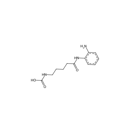 Nc1ccccc1NC(=O)CCCCNC(=O)O